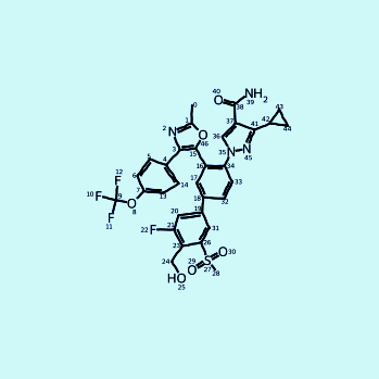 Cc1nc(-c2ccc(OC(F)(F)F)cc2)c(-c2cc(-c3cc(F)c(CO)c(S(C)(=O)=O)c3)ccc2-n2cc(C(N)=O)c(C3CC3)n2)o1